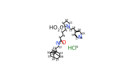 Cl.O=C(CCCC[C@@]1(C(=O)O)CCCN1CCc1ccncc1)[N]CCC12CC3CC(CC(C3)C1)C2